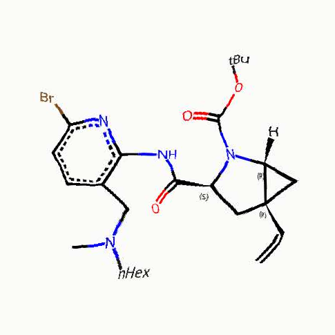 C=C[C@@]12C[C@@H](C(=O)Nc3nc(Br)ccc3CN(C)CCCCCC)N(C(=O)OC(C)(C)C)[C@@H]1C2